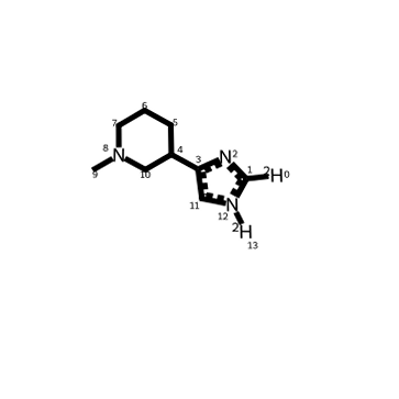 [2H]c1nc(C2CCCN(C)C2)cn1[2H]